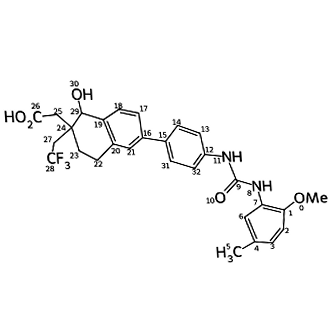 COc1ccc(C)cc1NC(=O)Nc1ccc(-c2ccc3c(c2)CCC(CC(=O)O)(CC(F)(F)F)C3O)cc1